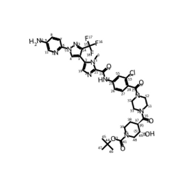 Cn1c(-c2cn(-c3ccc(N)cn3)nc2C(F)(F)F)cnc1C(=O)Nc1ccc(C(=O)N2CCN(C(=O)[C@@H]3CCN(C(=O)OC(C)(C)C)C[C@H]3O)CC2)c(Cl)c1